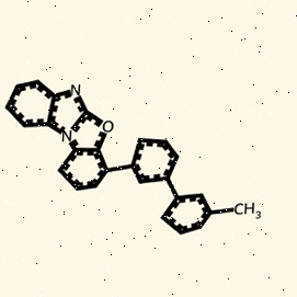 Cc1cccc(-c2cccc(-c3cccc4c3oc3nc5ccccc5n34)c2)c1